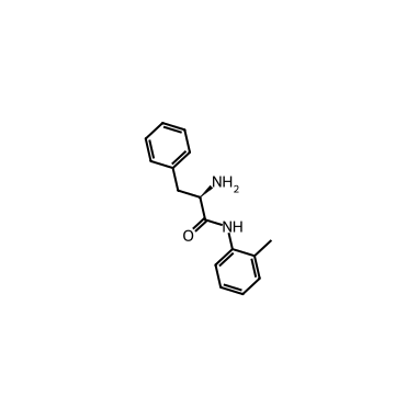 Cc1ccccc1NC(=O)[C@H](N)Cc1ccccc1